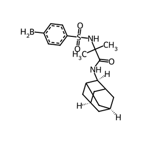 Bc1ccc(S(=O)(=O)NC(C)(C)C(=O)N[C@H]2C3C[C@@H]4CC2C[C@@H](C3)C4)cc1